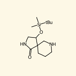 CC(C)(C)[Si](C)(C)OC1CNC(=O)C12CCCNC2